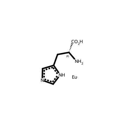 N[C@H](Cc1cnc[nH]1)C(=O)O.[Eu]